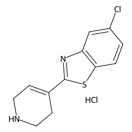 Cl.Clc1ccc2sc(C3=CCNCC3)nc2c1